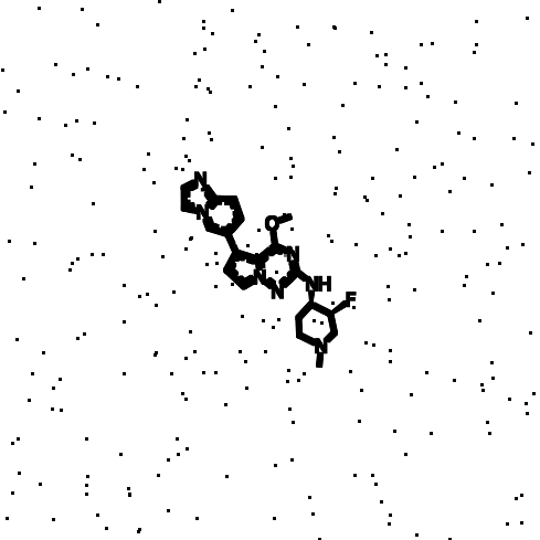 COc1nc(N[C@@H]2CCN(C)C[C@@H]2F)nn2ccc(-c3ccc4nccn4c3)c12